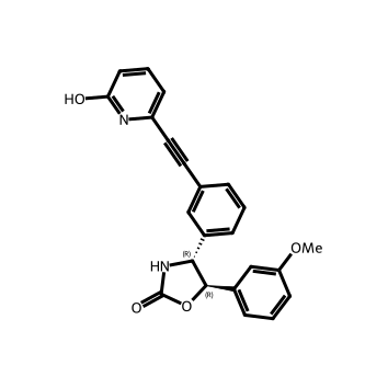 COc1cccc([C@H]2OC(=O)N[C@@H]2c2cccc(C#Cc3cccc(O)n3)c2)c1